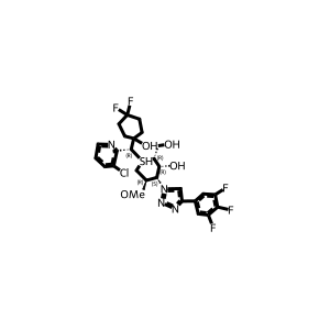 CO[C@H]1C[SH]([C@H](c2ncccc2Cl)C2(O)CCC(F)(F)CC2)[C@H](CO)[C@H](O)[C@@H]1n1cc(-c2cc(F)c(F)c(F)c2)nn1